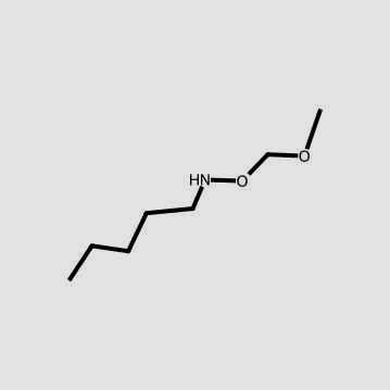 CCCCCNOCOC